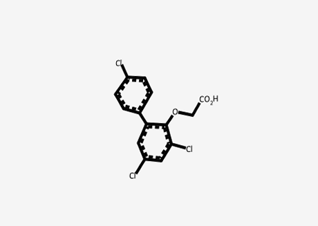 O=C(O)COc1c(Cl)cc(Cl)cc1-c1ccc(Cl)cc1